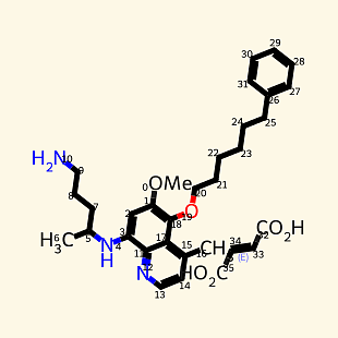 COc1cc(NC(C)CCCN)c2nccc(C)c2c1OCCCCCCc1ccccc1.O=C(O)/C=C/C(=O)O